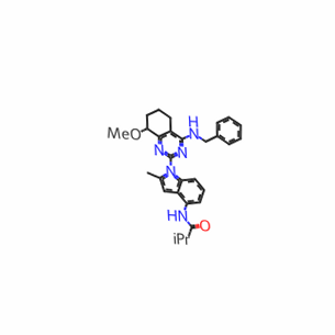 COC1CCCc2c(NCc3ccccc3)nc(-n3c(C)cc4c(NC(=O)C(C)C)cccc43)nc21